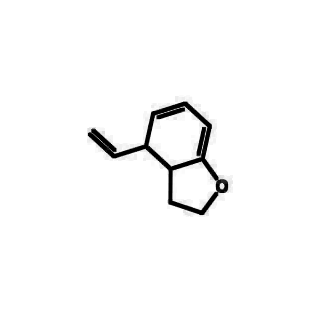 C=CC1C=CC=C2OCCC21